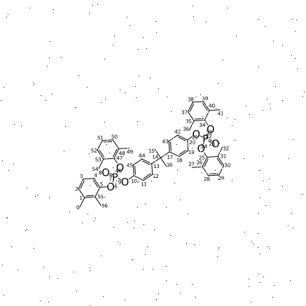 Cc1cccc(OP(=O)(Oc2ccc(C(C)(C)c3ccc(OP(=O)(Oc4c(C)cccc4C)Oc4c(C)cccc4C)cc3)cc2)Oc2c(C)cccc2C)c1C